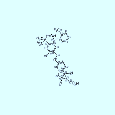 CC1(C)CN[C@H](c2ccccc2C(F)(F)F)c2cc(COc3cc4c(cn3)[C@H]3[C@@H](C4)[C@@H]3C(=O)O)c(F)cc21